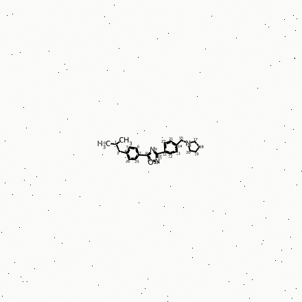 CC(C)Cc1ccc(-c2nc(-c3ccc(CN4CCCC4)cc3)no2)cc1